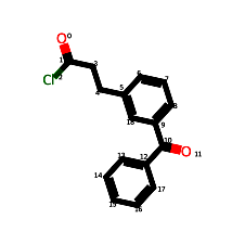 O=C(Cl)CCc1cccc(C(=O)c2ccccc2)c1